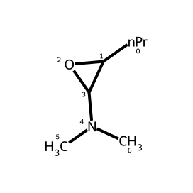 CCCC1OC1N(C)C